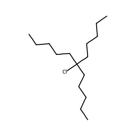 CCCCCC(Cl)(CCCCC)CCCCC